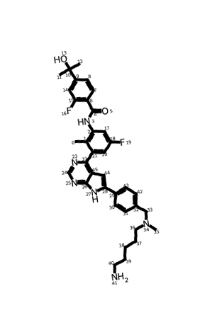 Cc1c(NC(=O)c2ccc(C(C)(C)O)cc2F)cc(F)cc1-c1ncnc2[nH]c(-c3ccc(CN(C)CCCCCN)cc3)cc12